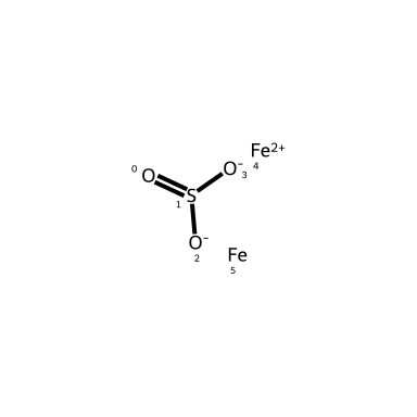 O=S([O-])[O-].[Fe+2].[Fe]